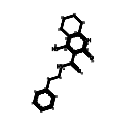 O=C(NCCc1ccccc1)c1c(O)c2c([nH]c1=O)CCCC2